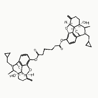 C=C1CC[C@@]2(O)C(C)N(CC3CC3)C3C[C@@]24c2c3ccc(OC(=O)CCCCC(=O)Oc3ccc5c6c3O[C@H]3C(=C)CC[C@@]7(O)C(C)N(CC8CC8)C5C[C@]637)c2O[C@@H]14